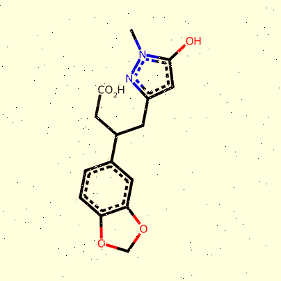 Cn1nc(CC(CC(=O)O)c2ccc3c(c2)OCO3)cc1O